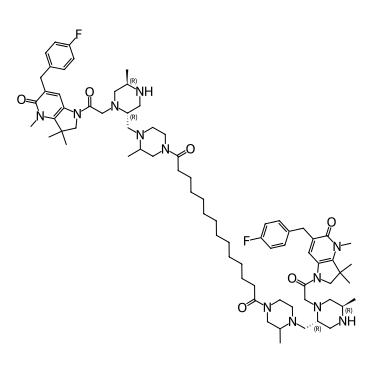 CC1CN(C(=O)CCCCCCCCCCCCC(=O)N2CCN(C[C@H]3CN[C@H](C)CN3CC(=O)N3CC(C)(C)c4c3cc(Cc3ccc(F)cc3)c(=O)n4C)C(C)C2)CCN1C[C@H]1CN[C@H](C)CN1CC(=O)N1CC(C)(C)c2c1cc(Cc1ccc(F)cc1)c(=O)n2C